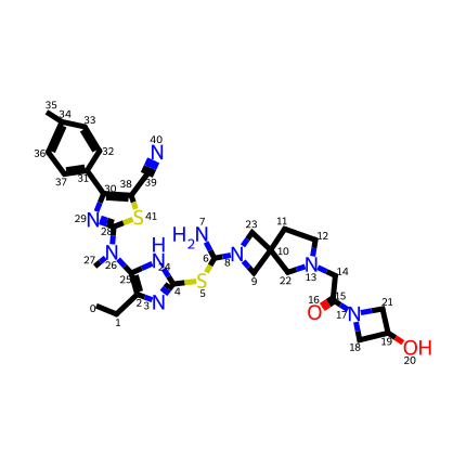 CCc1nc(SC(N)N2CC3(CCN(CC(=O)N4CC(O)C4)C3)C2)[nH]c1N(C)c1nc(-c2ccc(C)cc2)c(C#N)s1